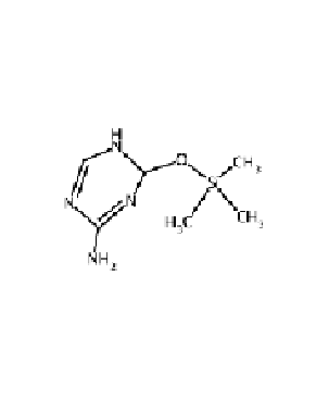 C[Si](C)(C)OC1N=C(N)N=CN1